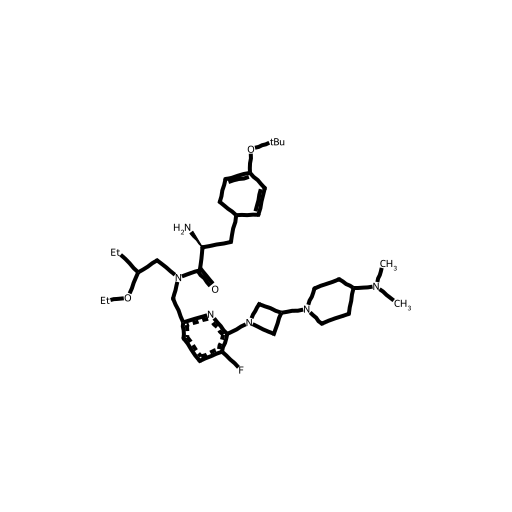 CCOC(CC)CN(Cc1ccc(F)c(N2CC(N3CCC(N(C)C)CC3)C2)n1)C(=O)[C@@H](N)CC1C=CC(OC(C)(C)C)=CC1